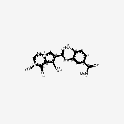 CCCn1cnn2cc(C(=O)Nc3cc(C(=O)NC)ccc3C)c(C)c2c1=O